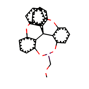 COCP1Oc2cccc3c2C2(c4ccccc4O3)c3ccccc3Oc3cccc(c32)O1